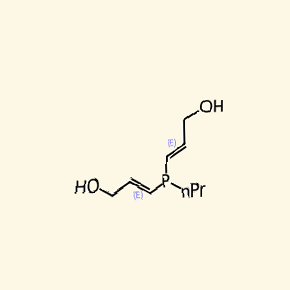 CCCP(/C=C/CO)/C=C/CO